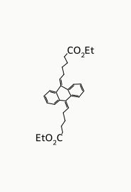 CCOC(=O)CCCCC=c1c2ccccc2c(=CCCCCC(=O)OCC)c2ccccc12